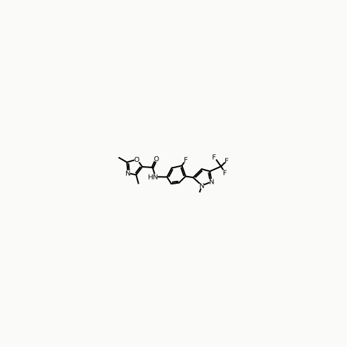 Cc1nc(C)c(C(=O)Nc2ccc(-c3cc(C(F)(F)F)nn3C)c(F)c2)o1